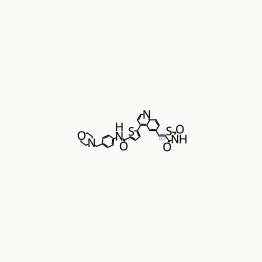 O=C1NC(=O)/C(=C/c2ccc3nccc(-c4ccc(C(=O)Nc5ccc(CN6CCOCC6)cc5)s4)c3c2)S1